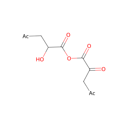 CC(=O)CC(=O)C(=O)OC(=O)C(O)CC(C)=O